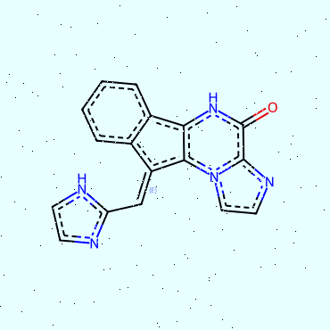 O=c1[nH]c2c3ccccc3/c(=C\c3ncc[nH]3)c2n2ccnc12